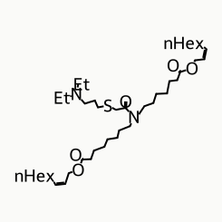 CCCCCC/C=C\COC(=O)CCCCCCCN(CCCCCCCC(=O)OC/C=C\CCCCCC)C(=O)CSCCCN(CC)CC